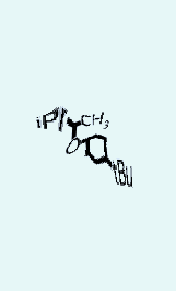 CC(C)C(C)OC1CCC(C(C)(C)C)CC1